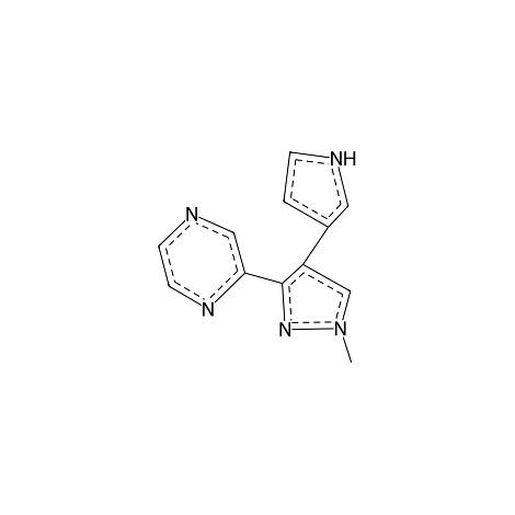 Cn1cc(-c2cc[nH]c2)c(-c2cnccn2)n1